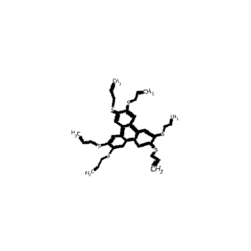 C=CCSc1cc2c3cc(SCC=C)c(SCC=C)cc3c3cc(SCC=C)c(SCC=C)cc3c2cc1SCC=C